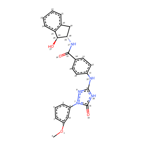 COc1cccc(-n2nc(Nc3ccc(C(=O)N[C@H]4Cc5ccccc5[C@@H]4O)cc3)[nH]c2=O)c1